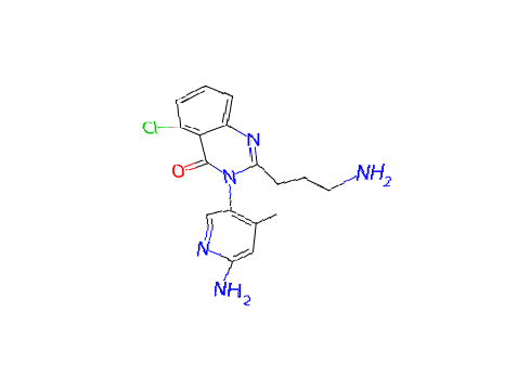 Cc1cc(N)ncc1-n1c(CCCN)nc2cccc(Cl)c2c1=O